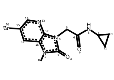 Cn1c(=O)n(CC(=O)NC2CC2)c2ncc(Br)cc21